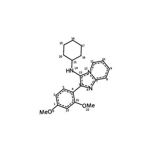 COc1ccc(-c2nc3ccccn3c2NC2CCCCC2)c(OC)c1